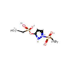 CCCS(=O)(=O)n1ccc(OS(=O)(=O)CC(=O)O)n1